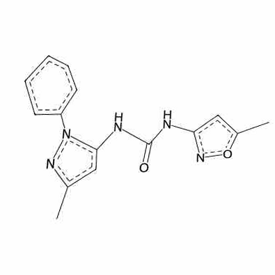 Cc1cc(NC(=O)Nc2cc(C)on2)n(-c2ccccc2)n1